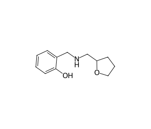 Oc1ccccc1CNCC1CCCO1